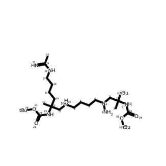 CCCCC(C)(CN(N)CCCC[16NH]CC(C)(CCCCNC(C)=N)NC(=O)OC(C)(C)C)NC(=O)OC(C)(C)C